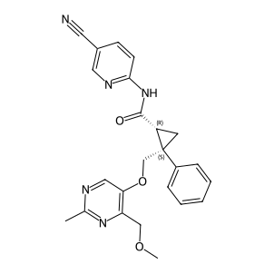 COCc1nc(C)ncc1OC[C@@]1(c2ccccc2)C[C@H]1C(=O)Nc1ccc(C#N)cn1